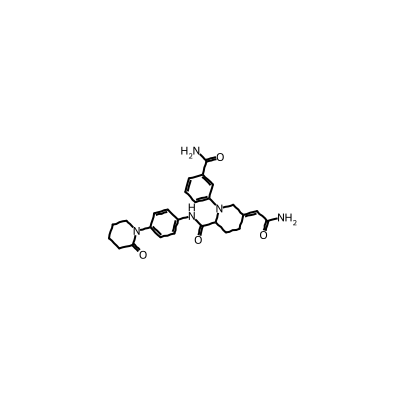 NC(=O)C=C1CCC(C(=O)Nc2ccc(N3CCCCC3=O)cc2)N(c2cccc(C(N)=O)c2)C1